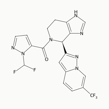 O=C(c1ccnn1C(F)F)N1CCc2[nH]cnc2[C@H]1c1cc2ccc(C(F)(F)F)cn2n1